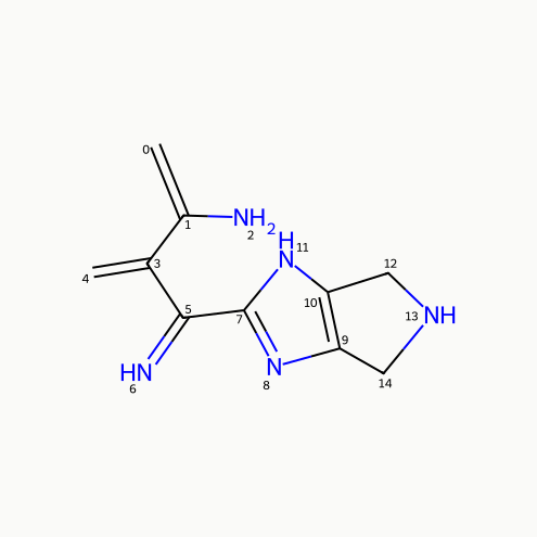 C=C(N)C(=C)C(=N)c1nc2c([nH]1)CNC2